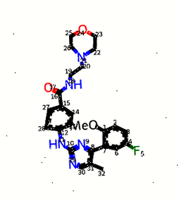 COc1ccc(F)cc1-c1nc(Nc2ccc(C(=O)NCCN3CCOCC3)cc2)ncc1C